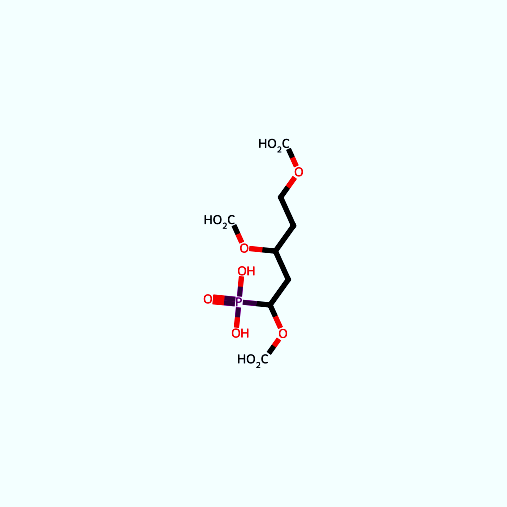 O=C(O)OCCC(CC(OC(=O)O)P(=O)(O)O)OC(=O)O